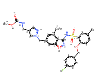 CCc1ccc(OCc2ccc(F)cc2)c(S(=O)(=O)Nc2noc3cc(Cn4cc(CNC(=O)OC(C)(C)C)cn4)cc(OC)c23)c1